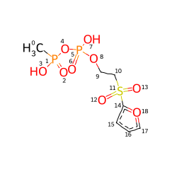 CP(=O)(O)OP(=O)(O)OCCS(=O)(=O)c1ccco1